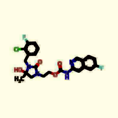 CC1(O)CN(CCOC(=O)Nc2cc3cc(F)ccc3cn2)C(=O)N1Cc1cccc(F)c1Cl